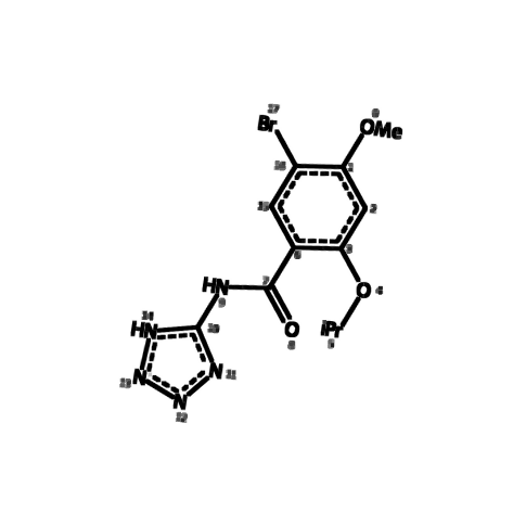 COc1cc(OC(C)C)c(C(=O)Nc2nnn[nH]2)cc1Br